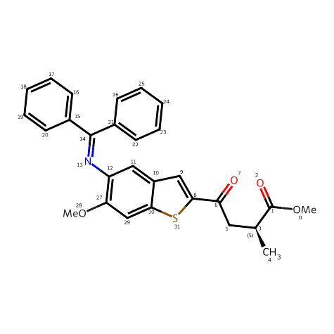 COC(=O)[C@@H](C)CC(=O)c1cc2cc(N=C(c3ccccc3)c3ccccc3)c(OC)cc2s1